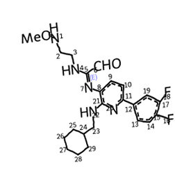 CONCCN/C(C=O)=N/c1ccc(-c2ccc(F)c(F)c2)nc1NCC1CCCCC1